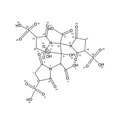 O=C(O)C(N1C(=O)CC(S(=O)(=O)O)C1=O)C(O)(C(=O)O)C(C(=O)O)(N1C(=O)CC(S(=O)(=O)O)C1=O)N1C(=O)CC(S(=O)(=O)O)C1=O